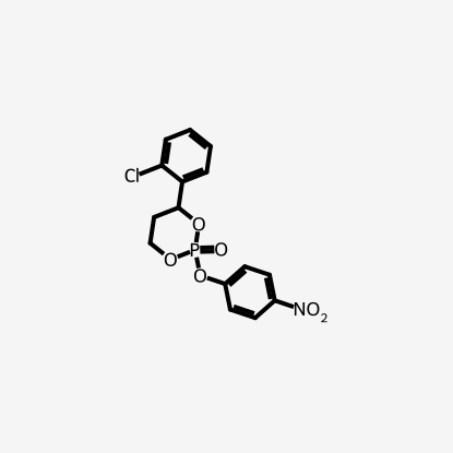 O=[N+]([O-])c1ccc(OP2(=O)OCCC(c3ccccc3Cl)O2)cc1